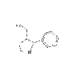 OCC1CCNC1c1ccccc1